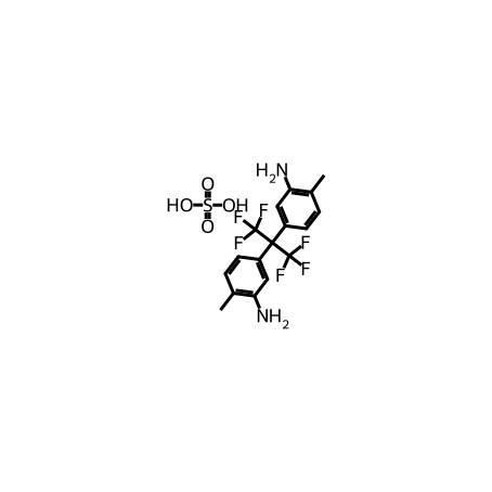 Cc1ccc(C(c2ccc(C)c(N)c2)(C(F)(F)F)C(F)(F)F)cc1N.O=S(=O)(O)O